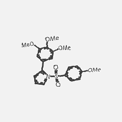 COc1ccc(S(=O)(=O)n2cccc2-c2cc(OC)c(OC)c(OC)c2)cc1